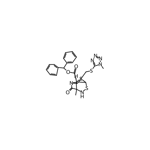 Cn1nnnc1SCC1=C(C(=O)OC(c2ccccc2)c2ccccc2)N2C(=O)C3(C)NSC1S[C@H]23